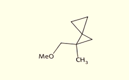 COCC1(C)CC12CC2